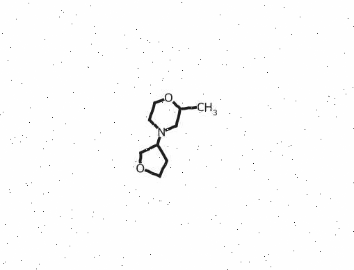 CC1CN(C2CCOC2)CCO1